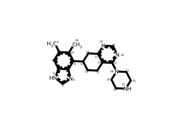 Cc1cc2[nH]cnc2c(C2CCc3c(ncnc3N3CCNCC3)C2)c1C